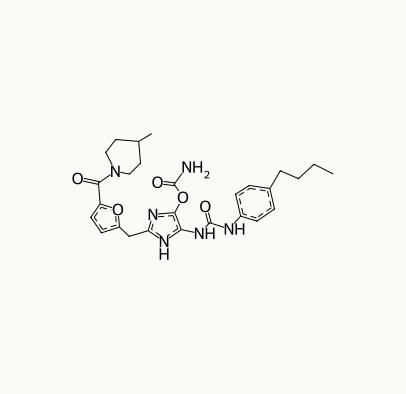 CCCCc1ccc(NC(=O)Nc2[nH]c(Cc3ccc(C(=O)N4CCC(C)CC4)o3)nc2OC(N)=O)cc1